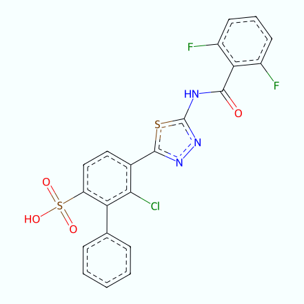 O=C(Nc1nnc(-c2ccc(S(=O)(=O)O)c(-c3ccccc3)c2Cl)s1)c1c(F)cccc1F